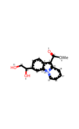 COC(=O)c1c2ccc(C(O)CO)cc2n2ccccc12